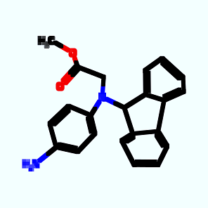 COC(=O)CN(c1ccc(N)cc1)C1c2ccccc2-c2ccccc21